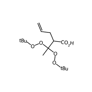 C=CCC(C(=O)O)C(C)(OOC(C)(C)C)OOC(C)(C)C